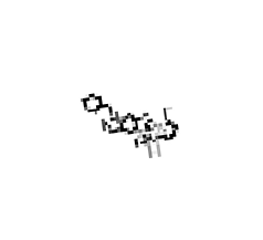 O=S(=O)(Nc1cccc(F)n1)c1cc2cnn(Cc3ccccc3)c2cc1F